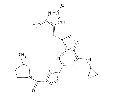 C=c1[nH]c(=O)[nH]/c1=C\c1cnn2c(NC3CC3)cc(-c3ccc(C(=O)N4CCC(C)C4)s3)nc12